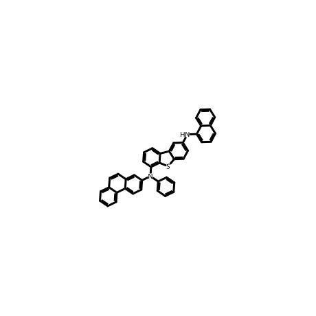 c1ccc(N(c2ccc3c(ccc4ccccc43)c2)c2cccc3c2sc2ccc(Nc4cccc5ccccc45)cc23)cc1